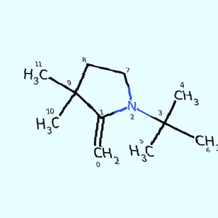 C=C1N(C(C)(C)C)CCC1(C)C